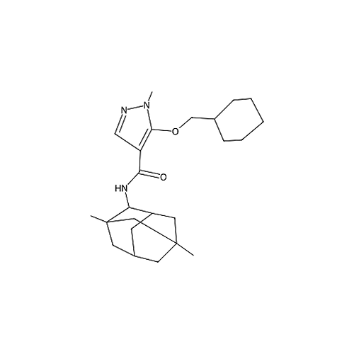 Cn1ncc(C(=O)NC2C3CC4CC(C)(C3)CC2(C)C4)c1OCC1CCCCC1